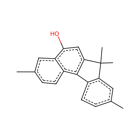 Cc1ccc2c(c1)C(C)(C)c1cc(O)c3cc(C)ccc3c1-2